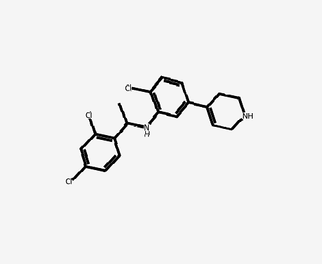 CC(Nc1cc(C2=CCNCC2)ccc1Cl)c1ccc(Cl)cc1Cl